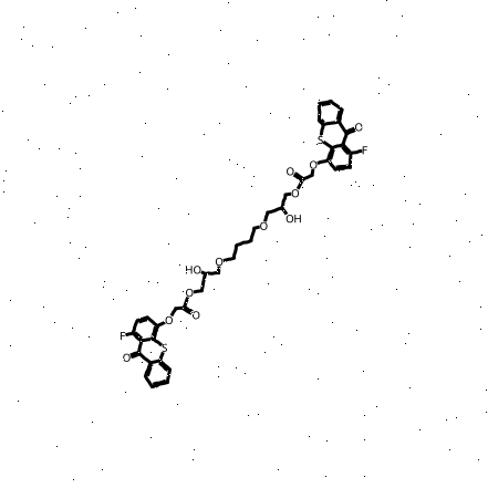 O=C(COc1ccc(F)c2c(=O)c3ccccc3sc12)OCC(O)COCCCCOCC(O)COC(=O)COc1ccc(F)c2c(=O)c3ccccc3sc12